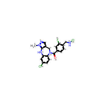 Cn1ncc2c1Nc1cc(Cl)ccc1N(C(=O)c1ccc(CNCl)c(F)c1)C2